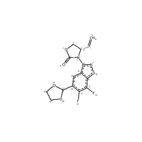 C=C[C@H]1COC(=O)N1c1noc2c(F)c(F)c(C3OCCO3)cc12